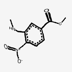 CNc1cc(C(=O)OC)ccc1[N+](=O)[O-]